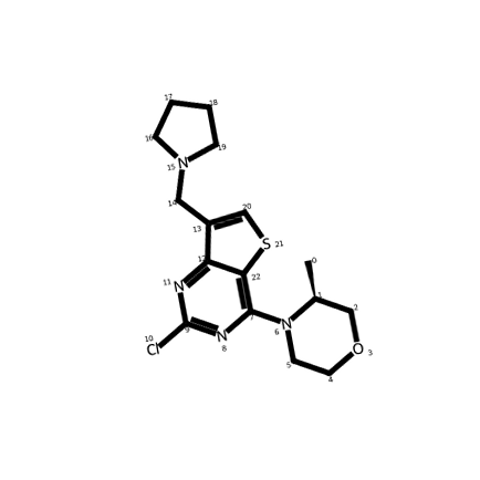 C[C@H]1COCCN1c1nc(Cl)nc2c(CN3CCCC3)csc12